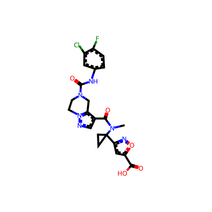 CN(C(=O)c1cnn2c1CN(C(=O)Nc1ccc(F)c(Cl)c1)CC2)C1(c2cc(C(=O)O)on2)CC1